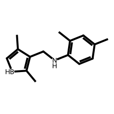 CC1=CBC(C)=C1CNc1ccc(C)cc1C